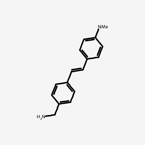 CNc1ccc(/C=C/c2ccc(CN)cc2)cc1